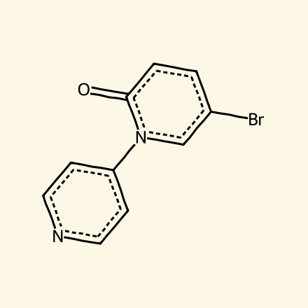 O=c1ccc(Br)cn1-c1ccncc1